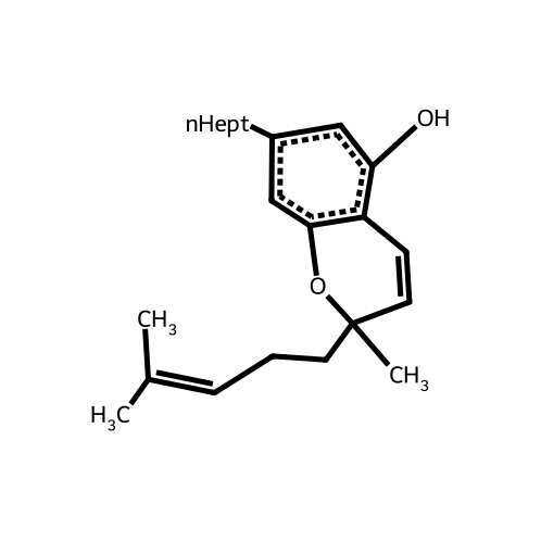 CCCCCCCc1cc(O)c2c(c1)OC(C)(CCC=C(C)C)C=C2